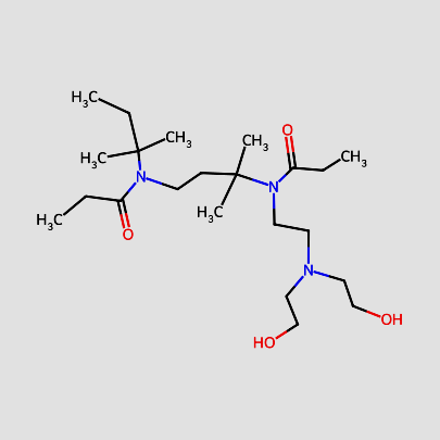 CCC(=O)N(CCC(C)(C)N(CCN(CCO)CCO)C(=O)CC)C(C)(C)CC